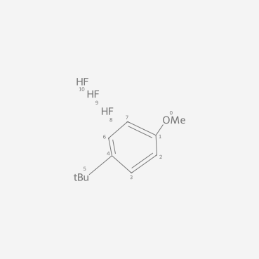 COc1ccc(C(C)(C)C)cc1.F.F.F